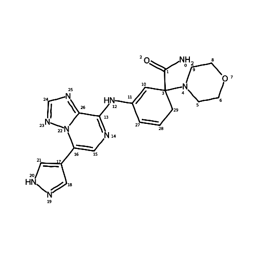 NC(=O)C1(N2CCOCC2)C=C(Nc2ncc(-c3cn[nH]c3)n3ncnc23)C=CC1